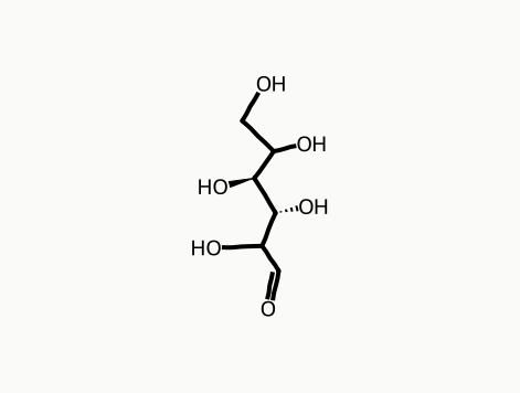 O=CC(O)[C@@H](O)[C@@H](O)C(O)CO